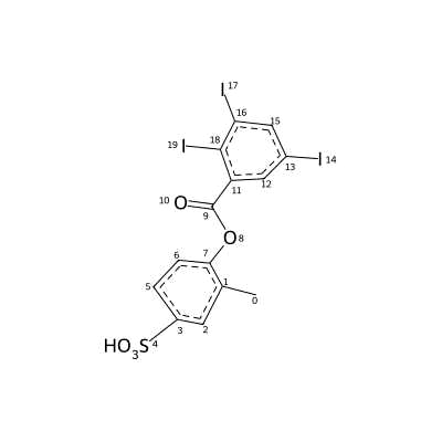 Cc1cc(S(=O)(=O)O)ccc1OC(=O)c1cc(I)cc(I)c1I